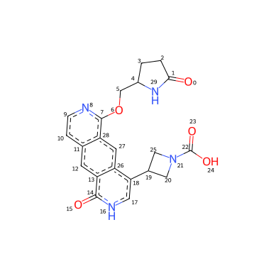 O=C1CCC(COc2nccc3cc4c(=O)[nH]cc(C5CN(C(=O)O)C5)c4cc23)N1